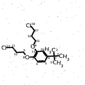 CC(C)(C)c1ccc(OCCCCl)c(OCCCCl)c1